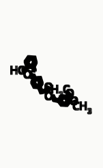 COc1ccc(CCOC(=O)Cc2ccc(SCc3ccccc3C(=O)O)cc2)cc1OC